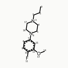 C[CH]CN1CCN(c2ccc(F)c(OC)c2)CC1